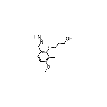 COc1ccc(CN=N)c(OCCCO)c1C